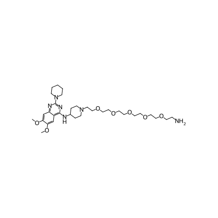 COc1cc2nc(N3CCCCC3)nc(NC3CCN(CCOCCOCCOCCOCCOCCN)CC3)c2cc1OC